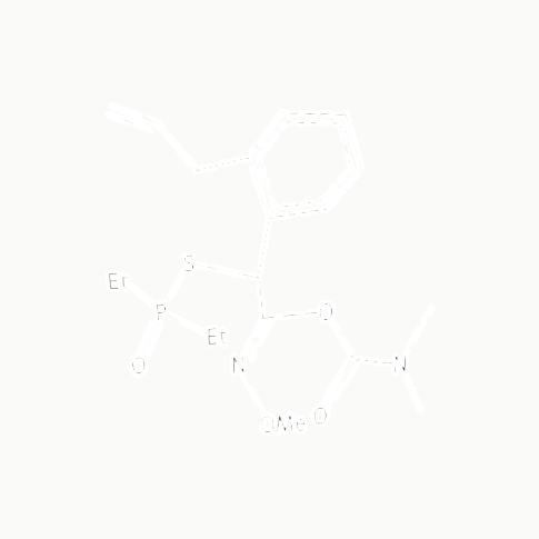 C=CCc1ccccc1C(SP(=O)(CC)CC)C(=NOC)OC(=O)N(C)C